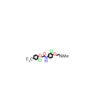 CNCCOc1ccc(NC(=O)COc2ccc(C(F)(F)F)cc2Cl)cc1Cl